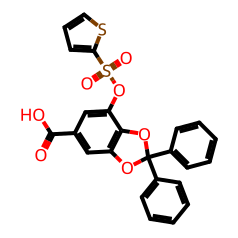 O=C(O)c1cc2c(c(OS(=O)(=O)c3cccs3)c1)OC(c1ccccc1)(c1ccccc1)O2